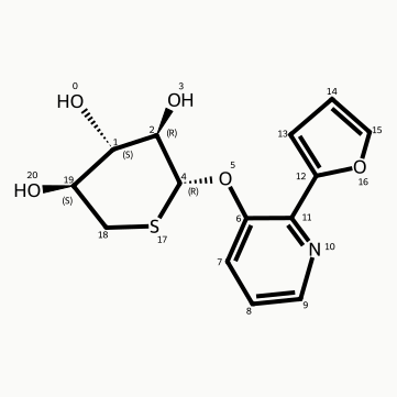 O[C@@H]1[C@@H](O)[C@H](Oc2cccnc2-c2ccco2)SC[C@H]1O